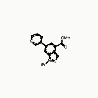 COC(=O)c1cc(-c2cccnc2)cc2c1cnn2C(C)C